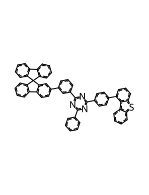 c1ccc(-c2nc(-c3ccc(-c4cccc5sc6ccccc6c45)cc3)nc(-c3cccc(-c4ccc5c(c4)C4(c6ccccc6-c6ccccc64)c4ccccc4-5)c3)n2)cc1